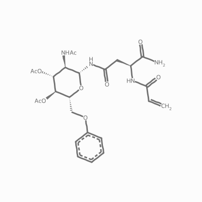 C=CC(=O)N[C@@H](CC(=O)N[C@@H]1O[C@H](COc2ccccc2)[C@@H](OC(C)=O)[C@H](OC(C)=O)[C@H]1NC(C)=O)C(N)=O